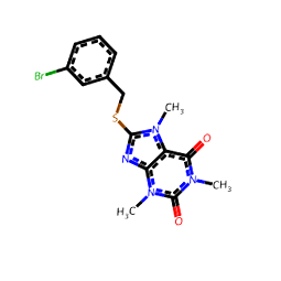 Cn1c(=O)c2c(nc(SCc3cccc(Br)c3)n2C)n(C)c1=O